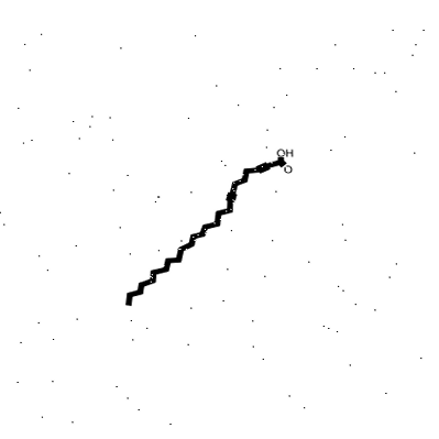 CCCCCCCCCCCCCCCCCC#CCCCC#CC(=O)O